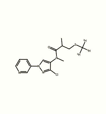 [2H]C([2H])([2H])SCC(C)C(=O)N(C)c1cn(-c2cccnc2)nc1Cl